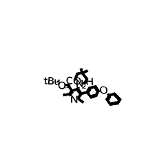 Cc1nc(C)c([C@H](OC(C)(C)C)C(=O)O)c(N2CCC(C)(C)CC2)c1-c1ccc(Oc2ccccc2)cc1